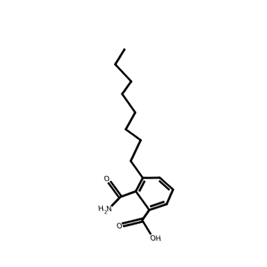 CCCCCCCCc1cccc(C(=O)O)c1C(N)=O